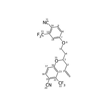 C=CCC(CCOc1ccc(C#N)c(C(F)(F)F)c1)Oc1ccc(C#N)c(C(F)(F)F)c1